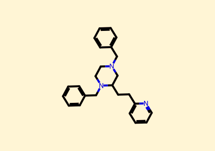 c1ccc(CN2CCN(Cc3ccccc3)C(CCc3ccccn3)C2)cc1